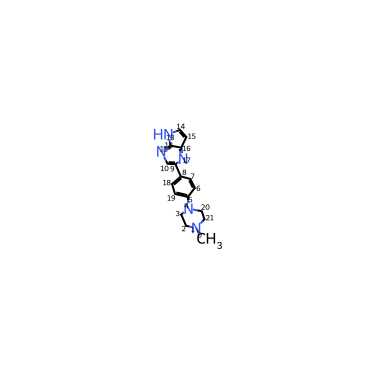 CN1CCN(c2ccc(-c3cnc4[nH]ccc4n3)cc2)CC1